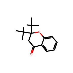 CC(C)(C)C1(C(C)(C)C)CC(=O)c2ccccc2O1